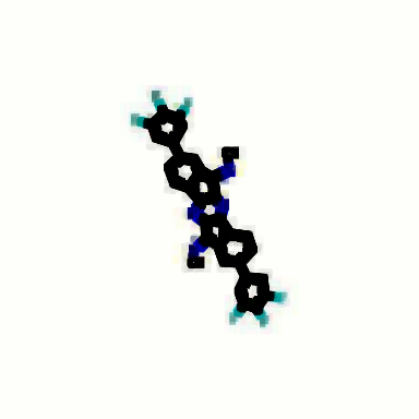 N#C/N=c1\c2cc(-c3cc(F)c(F)c(F)c3)ccc2c2nc3/c(=N/C#N)c4cc(-c5cc(F)c(F)c(F)c5)ccc4c3nc12